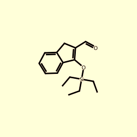 CC[Si](CC)(CC)OC1=C(C=O)Cc2ccccc21